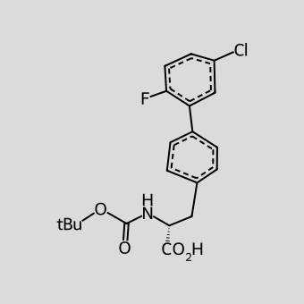 CC(C)(C)OC(=O)N[C@H](Cc1ccc(-c2cc(Cl)ccc2F)cc1)C(=O)O